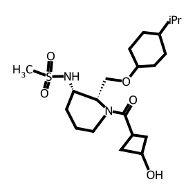 CC(C)C1CCC(OC[C@H]2[C@@H](NS(C)(=O)=O)CCCN2C(=O)C2CC(O)C2)CC1